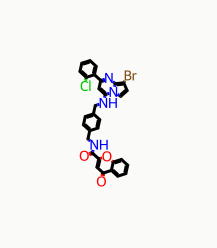 O=C(NCc1ccc(CNc2cc(-c3ccccc3Cl)nc3c(Br)ccn23)cc1)c1cc(=O)c2ccccc2o1